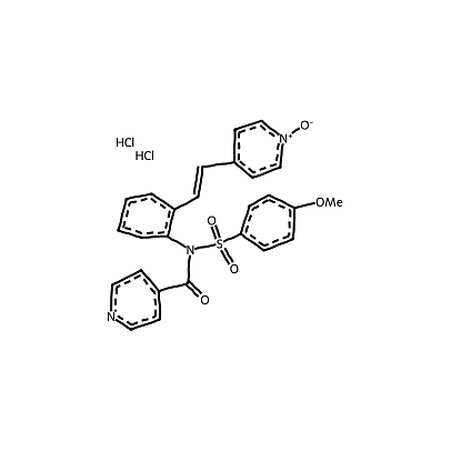 COc1ccc(S(=O)(=O)N(C(=O)c2ccncc2)c2ccccc2C=Cc2cc[n+]([O-])cc2)cc1.Cl.Cl